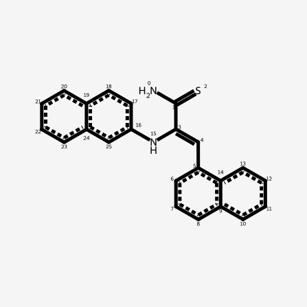 NC(=S)C(=Cc1cccc2ccccc12)Nc1ccc2ccccc2c1